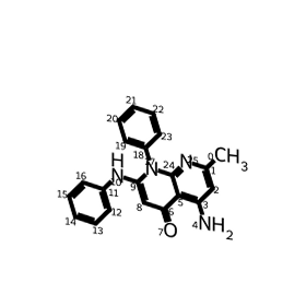 Cc1cc(N)c2c(=O)cc(Nc3ccccc3)n(-c3ccccc3)c2n1